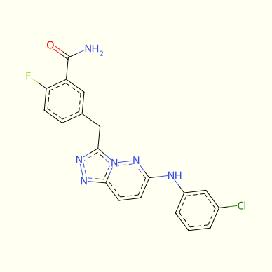 NC(=O)c1cc(Cc2nnc3ccc(Nc4cccc(Cl)c4)nn23)ccc1F